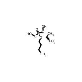 C=CC.CCCCOP(=O)(OO)OO